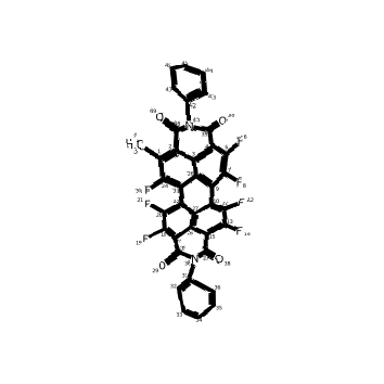 Cc1c2c3c(c(F)c(F)c4c5c(F)c(F)c6c7c(c(F)c(F)c(c(c1F)c34)c75)C(=O)N(c1ccccc1)C6=O)C(=O)N(c1ccccc1)C2=O